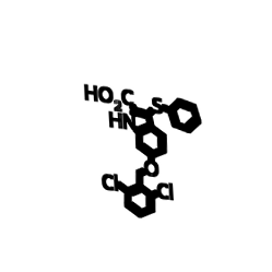 O=C(O)c1[nH]c2cc(OCc3c(Cl)cccc3Cl)ccc2c1Sc1ccccc1